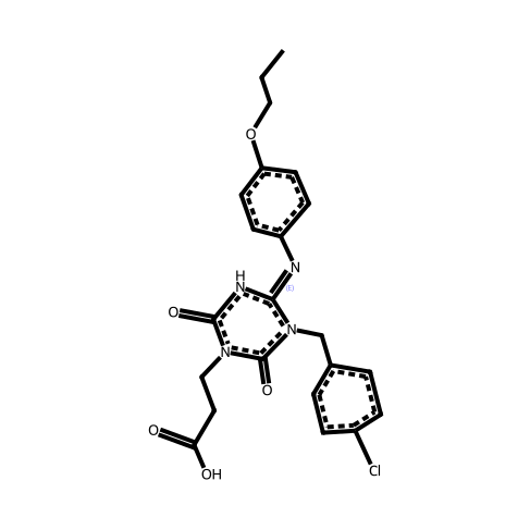 CCCOc1ccc(/N=c2\[nH]c(=O)n(CCC(=O)O)c(=O)n2Cc2ccc(Cl)cc2)cc1